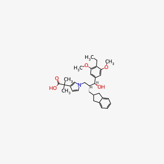 CCc1c(OC)cc([C@@H](O)[C@H](CC2Cc3ccccc3C2)Cn2ccc(C(C)(C)C(=O)O)c2)cc1OC